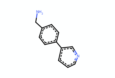 NCc1ccc(-c2cccnc2)cc1